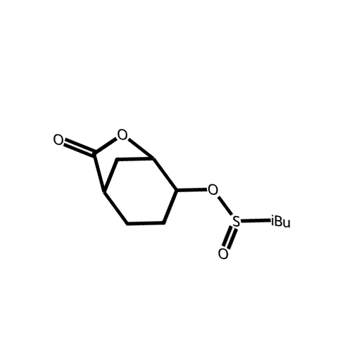 CCC(C)S(=O)OC1CCC2CC1OC2=O